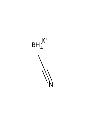 CC#N.[BH4-].[K+]